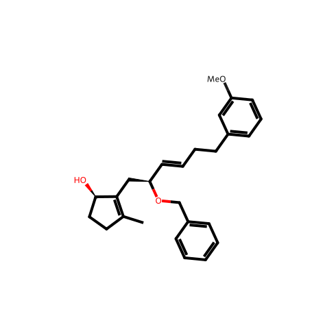 COc1cccc(CC/C=C/[C@H](CC2=C(C)CC[C@H]2O)OCc2ccccc2)c1